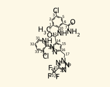 Cc1cc(Cl)cc(C(N)=O)c1NC(O)c1cc(Cn2nnc(C(F)(F)F)n2)nn1-c1ncccc1Cl